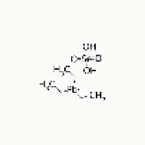 C[CH2][Pb]([CH2]C)[CH2]C.O=[Se](=O)(O)O